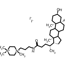 C[C@H](CCC(=O)NCCC[N+]1(C)CC[N+](C)(C)CC1)[C@H]1CCC2C3CC[C@@H]4C[C@H](O)CC[C@]4(C)C3CC[C@@]21C.[I-].[I-]